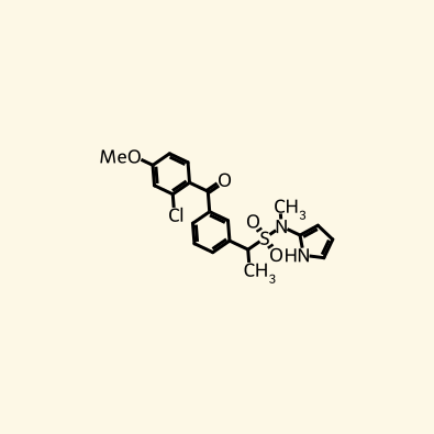 COc1ccc(C(=O)c2cccc(C(C)S(=O)(=O)N(C)c3ccc[nH]3)c2)c(Cl)c1